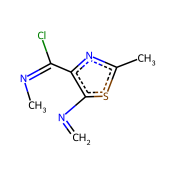 C=Nc1sc(C)nc1/C(Cl)=N\C